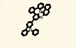 c1ccc(-n2c3ccccc3c3ccc(-c4cc5c6c(c4)-c4ccccc4-c4ccccc4N6c4c(ccc6ccccc46)S5)cc32)cc1